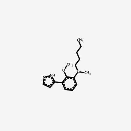 CCCCCN(C)c1cccc(-c2ccn[nH]2)c1OC